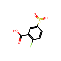 O=C(O)c1cc([SH](=O)=O)ccc1F